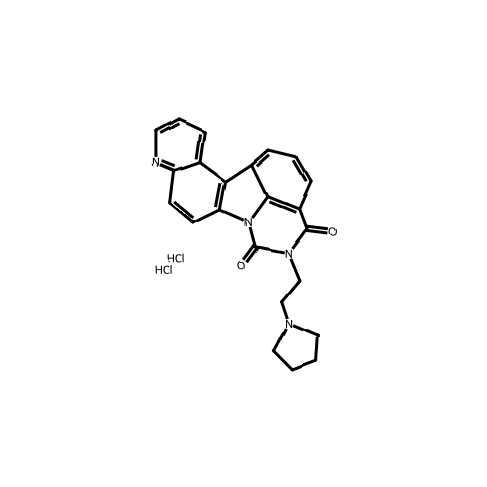 Cl.Cl.O=c1c2cccc3c4c5cccnc5ccc4n(c(=O)n1CCN1CCCC1)c23